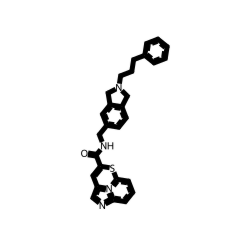 O=C(NCc1ccc2c(c1)CN(CCCc1ccccc1)C2)C1=Cc2cnc3cccc(n23)S1